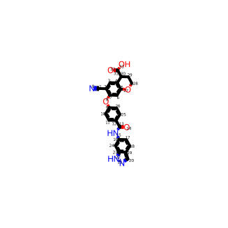 N#Cc1cc2c(cc1Oc1ccc(C(=O)Nc3ccc4cn[nH]c4c3)cc1)OCCC2C(=O)O